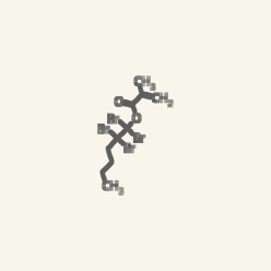 C=C(C)C(=O)OC(Br)(Br)C(Br)(Br)CCCC